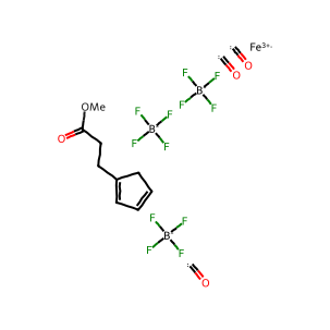 COC(=O)CCC1=CC=CC1.F[B-](F)(F)F.F[B-](F)(F)F.F[B-](F)(F)F.[C]=O.[C]=O.[C]=O.[Fe+3]